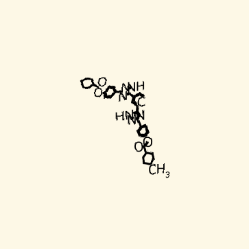 CC1CCC(C(=O)Oc2ccc(-c3n[nH]c(-c4cccc(-c5nc(-c6ccc(OC(=O)C7CCCCC7)cc6)n[nH]5)c4)n3)cc2)CC1